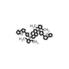 CCc1cccc(CC)c1N(c1ccc(-c2cccc3c2oc2ccccc23)cc1)c1ccc2ccc3c(N(c4ccc(-c5cccc6c5oc5ccccc56)cc4)c4c(CC)cccc4CC)ccc4ccc1c2c43